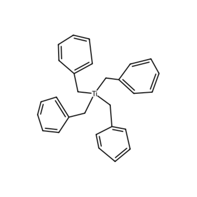 c1ccc([CH2][Ti]([CH2]c2ccccc2)([CH2]c2ccccc2)[CH2]c2ccccc2)cc1